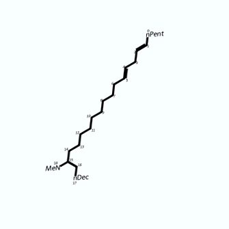 CCCCCC=CCC=CCCCCCCCCCC(CCCCCCCCCCC)NC